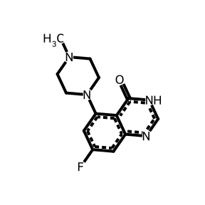 CN1CCN(c2cc(F)cc3nc[nH]c(=O)c23)CC1